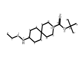 CCSNC1CCC2(CC1)CCN(C(=O)OC(C)(C)C)CC2